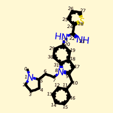 CN1CCCC1CCn1c(Cc2ccccc2)cc2cc(NC(=N)c3cccs3)ccc21